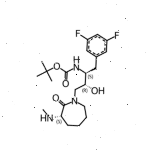 CN[C@H]1CCCCN(C[C@@H](O)[C@H](Cc2cc(F)cc(F)c2)NC(=O)OC(C)(C)C)C1=O